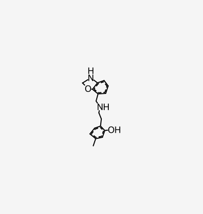 Cc1ccc(CCNCc2cccc3c2OCN3)c(O)c1